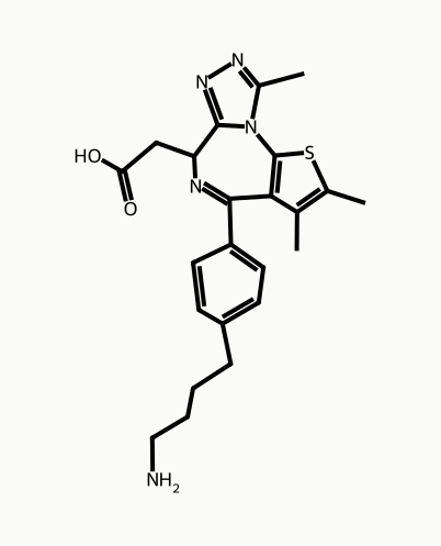 Cc1sc2c(c1C)C(c1ccc(CCCCN)cc1)=NC(CC(=O)O)c1nnc(C)n1-2